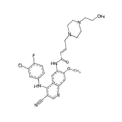 COc1cc2ncc(C#N)c(Nc3ccc(F)c(Cl)c3)c2cc1NC(=O)C=CCN1CCN(CCO)CC1